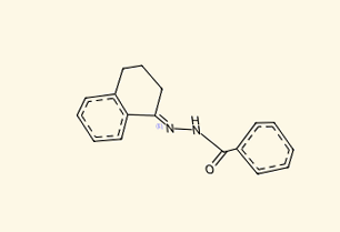 O=C(N/N=C1\CCCc2ccccc21)c1ccccc1